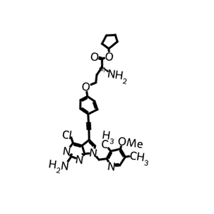 COc1c(C)cnc(Cn2cc(C#Cc3ccc(OCC[C@H](N)C(=O)OC4CCCC4)cc3)c3c(Cl)nc(N)nc32)c1C